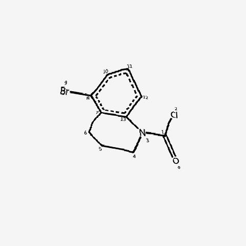 O=C(Cl)N1CCCc2c(Br)cccc21